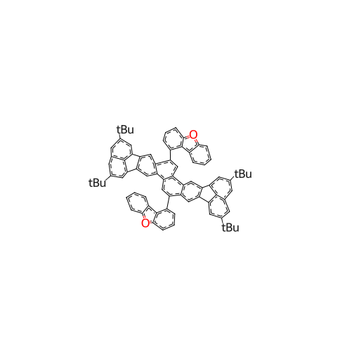 CC(C)(C)c1cc2c3c(cc(C(C)(C)C)cc3c1)-c1cc3c(cc1-2)c(-c1cccc2oc4ccccc4c12)cc1c2cc4c(cc2c(-c2cccc5oc6ccccc6c25)cc31)-c1cc(C(C)(C)C)cc2cc(C(C)(C)C)cc-4c12